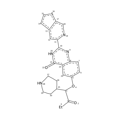 CCC(=O)C(Oc1ccc2nc(-c3cc4ccsc4cn3)[nH]c(=O)c2c1)C1CCNCC1